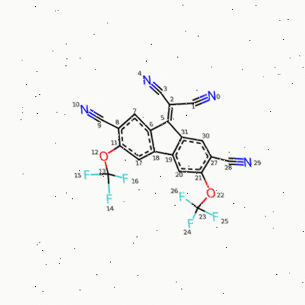 N#CC(C#N)=C1c2cc(C#N)c(OC(F)(F)F)cc2-c2cc(OC(F)(F)F)c(C#N)cc21